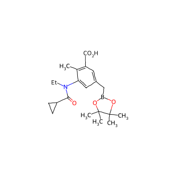 CCN(C(=O)C1CC1)c1cc(CB2OC(C)(C)C(C)(C)O2)cc(C(=O)O)c1C